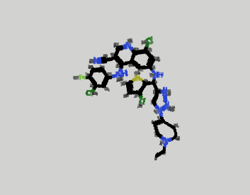 CCN1CCC(n2cc(C(Nc3cc(Cl)c4ncc(C#N)c(Nc5ccc(F)c(Cl)c5)c4c3)c3sccc3Cl)nn2)CC1